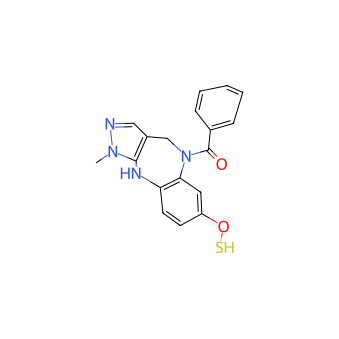 Cn1ncc2c1Nc1ccc(OS)cc1N(C(=O)c1ccccc1)C2